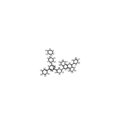 c1ccc(-c2ccc(-c3cc(-c4ccccc4)nc(-c4cccc(-c5cc6c7ccccc7c(-c7ccccc7)cc6c6ccccc56)c4)n3)cc2)cc1